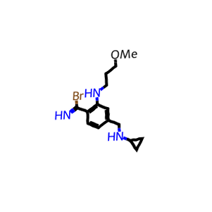 COCCCNc1cc(CNC2CC2)ccc1C(=N)Br